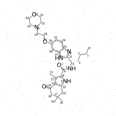 CCCC[C@H](NC(=O)c1[nH]c2c(c1C)C(=O)CC(C)(C)C2)c1nc2ccc(OCCN3CCOCC3)cc2[nH]1